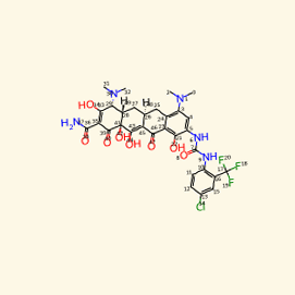 CN(C)c1cc(NC(=O)Nc2ccc(Cl)cc2C(F)(F)F)c(O)c2c1C[C@@H]1C[C@H]3[C@@H](N(C)C)C(O)=C(C(N)=O)C(=O)[C@@]3(O)C(O)=C1C2=O